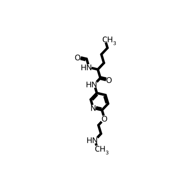 CCCCC(NC=O)C(=O)Nc1ccc(OCCNC)nc1